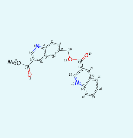 COC(=O)c1cnc2ccc(COC(=O)c3cnc4ccccc4c3)cc2c1